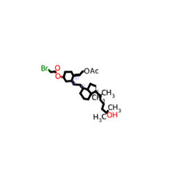 CC(=O)OC\C=C1/CC[C@H](OC(=O)CBr)C/C1=C/C=C1\CCC[C@@]2(C)C1CC[C@@H]2[C@H](C)CCCC(C)(C)O